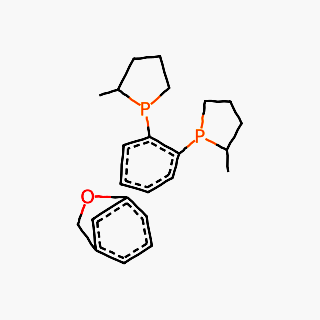 CC1CCCP1c1ccccc1P1CCCC1C.c1cc2cc(c1)OC2